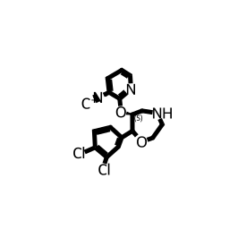 [C-]#[N+]c1cccnc1O[C@H]1CNCCOC1c1ccc(Cl)c(Cl)c1